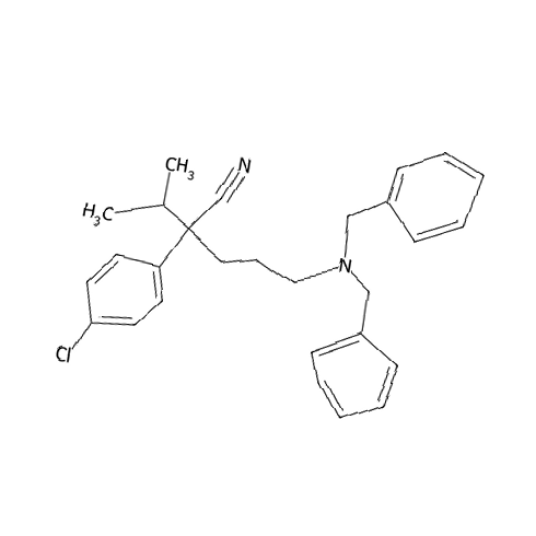 CC(C)C(C#N)(CCCN(Cc1ccccc1)Cc1ccccc1)c1ccc(Cl)cc1